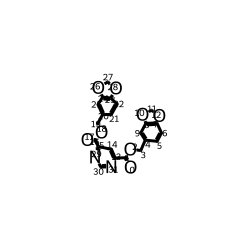 O=C(OCc1ccc2c(c1)OCO2)c1cc(C(=O)OCc2ccc3c(c2)OCO3)ncn1